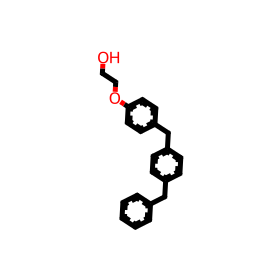 OCCOc1ccc(Cc2ccc(Cc3ccccc3)cc2)cc1